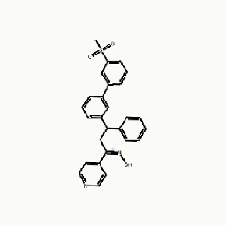 CS(=O)(=O)c1cccc(-c2cccc(C(C/C(=N/O)c3ccncc3)c3ccccc3)c2)c1